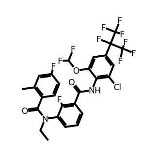 CCN(C(=O)c1ccc(F)cc1C)c1cccc(C(=O)Nc2c(Cl)cc(C(F)(C(F)(F)F)C(F)(F)F)cc2OC(F)F)c1F